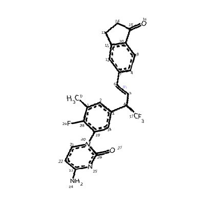 Cc1cc(C(/C=C/c2ccc3c(c2)CCC3=O)C(F)(F)F)cc(-n2ccc(N)nc2=O)c1F